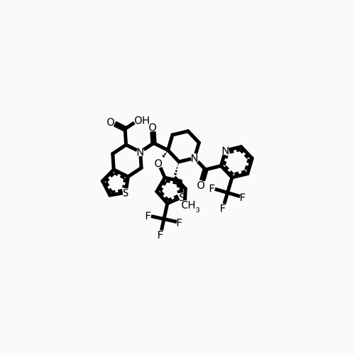 CCC[C@H]1N(C(=O)c2ncccc2C(F)(F)F)CCC[C@]1(Oc1csc(C(F)(F)F)c1)C(=O)N1Cc2sccc2CC1C(=O)O